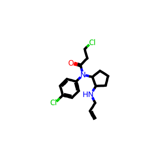 C=CCNC1CCCC1N(C(=O)CCCl)c1ccc(Cl)cc1